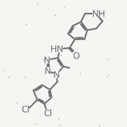 Cc1c(NC(=O)c2ccc3c(c2)CCNC3)nnn1Cc1ccc(Cl)c(Cl)c1